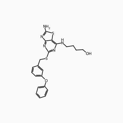 Nc1nc2nc(SCc3cccc(Oc4ccccc4)c3)nc(NCCCCO)c2s1